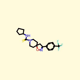 FC(F)(F)c1ccc(C2=NOC3(CCN(C(=S)NC4CCCC4)CC3)C2)cc1